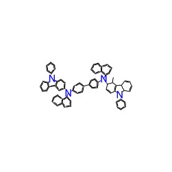 CC1C2=C(C=CC1N(c1ccc(-c3ccc(N(c4ccc5c(c4)c4ccccc4n5-c4ccccc4)c4cccc5ccccc45)cc3)cc1)c1cccc3ccccc13)N(c1ccccc1)C1C=CC=CC21